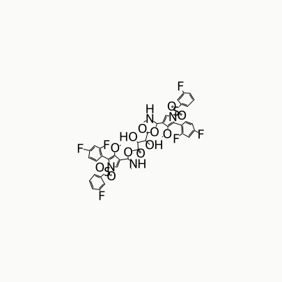 CNC(OC(=O)C(O)C(O)C(=O)OC(NC)c1cn(S(=O)(=O)c2cccc(F)c2)c(-c2ccc(F)cc2F)c1OC)c1cn(S(=O)(=O)c2cccc(F)c2)c(-c2ccc(F)cc2F)c1OC